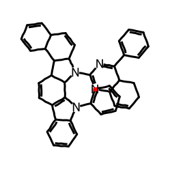 C1=CC2C=CC3C(C2C=C1)C1C=Cc2c(n(-c4ccccc4)c4ccccc24)C1N3C1=NC2C=CCCC2C(c2ccccc2)=N1